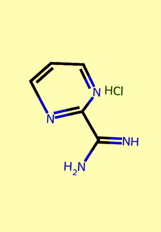 Cl.N=C(N)c1ncccn1